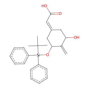 C=C1C(O)C/C(=C\C(=O)O)CC1O[Si](c1ccccc1)(c1ccccc1)C(C)(C)C